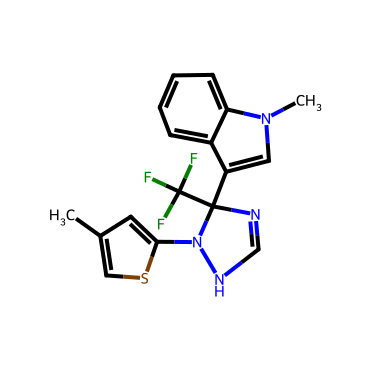 Cc1csc(N2NC=NC2(c2cn(C)c3ccccc23)C(F)(F)F)c1